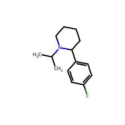 CC(C)N1CCCCC1c1ccc(F)cc1